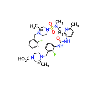 C[C@H]1CN(S(=O)(=O)N(C)C)CCN1Cc1ccc[c]c1F.Cc1ccc(NC(=O)Nc2cccc(CN3CCN(C(=O)O)C[C@@H]3C)c2F)cn1